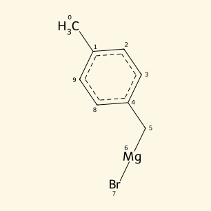 Cc1ccc([CH2][Mg][Br])cc1